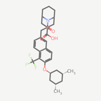 C[C@@H]1C[C@H](C)C[C@@H](Oc2ccc3cc(CC(=O)N4C5CCCC4CC(C(=O)O)C5)ccc3c2C(F)(F)F)C1